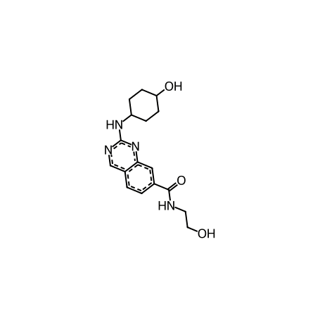 O=C(NCCO)c1ccc2cnc(NC3CCC(O)CC3)nc2c1